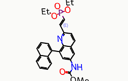 CCOP(=O)(/C=C/c1ccc2cc(NC(=O)OC)cc(-c3cccc4ccccc34)c2n1)OCC